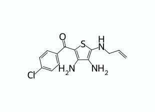 C=CCNc1sc(C(=O)c2ccc(Cl)cc2)c(N)c1N